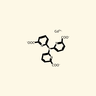 O=C([O-])c1cccc(P(c2cccc(C(=O)[O-])n2)c2cccc(C(=O)[O-])n2)n1.[Gd+3]